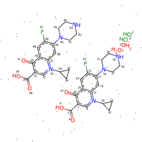 Cl.Cl.O.O.O=C(O)c1cn(C2CC2)c2cc(N3CCNCC3)c(F)cc2c1=O.O=C(O)c1cn(C2CC2)c2cc(N3CCNCC3)c(F)cc2c1=O